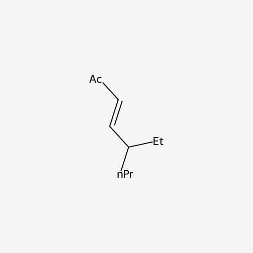 CCCC(/C=C/C(C)=O)CC